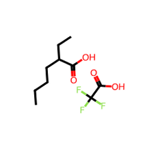 CCCCC(CC)C(=O)O.O=C(O)C(F)(F)F